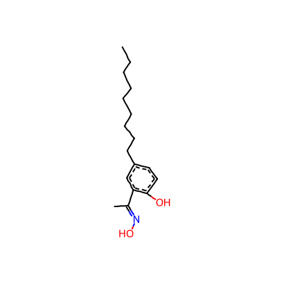 CCCCCCCCCc1ccc(O)c(/C(C)=N/O)c1